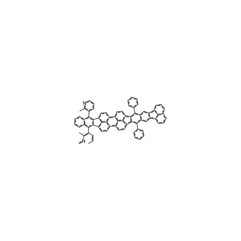 C=N/C(C)=C(\C=C/C)c1c2c(c(-c3cccnc3C)c3ccccc13)-c1ccc3c4ccc5c6c(-c7ccccc7)c7cc8c(cc7c(-c7ccccc7)c6c6ccc(c7ccc-2c1c73)c4c65)c1cccc2cccc8c21